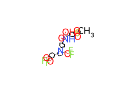 CCS(=O)(=O)c1ccc([C@H](CO)NC(=O)c2ccc(N3C[C@H](c4ccc5c(c4)OC(F)(F)O5)CCC3COC(F)F)cc2)cc1